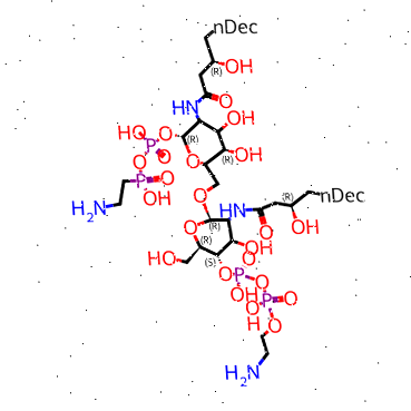 CCCCCCCCCCC[C@@H](O)CC(=O)NC1C(O)[C@@H](O)C(CO[C@@H]2O[C@H](CO)[C@@H](OP(=O)(O)OP(=O)(O)OCCN)C(O)C2NC(=O)C[C@H](O)CCCCCCCCCCC)O[C@@H]1OP(=O)(O)OP(=O)(O)CCN